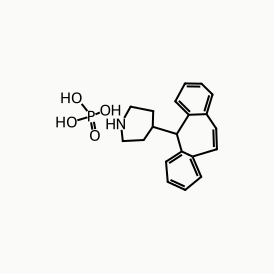 C1=Cc2ccccc2C(C2CCNCC2)c2ccccc21.O=P(O)(O)O